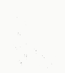 CC1OC2(CCN(CCc3ccccc3)CC2)CN(CC(=O)N2CCOCC2)C1=O